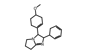 COC1CC=C(C2C(C3C=CC=CC3)N=C3CCCN32)CC1